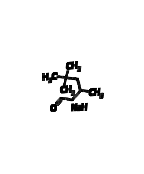 CC(CC=O)CC(C)(C)C.[NaH]